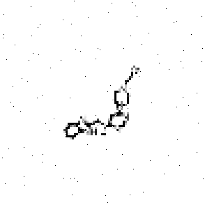 COCCN1CCN(c2cc(NCc3nc4ccccc4[nH]3)ncn2)CC1